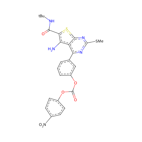 CSc1nc(-c2cccc(OC(=O)Oc3ccc([N+](=O)[O-])cc3)c2)c2c(N)c(C(=O)NC(C)(C)C)sc2n1